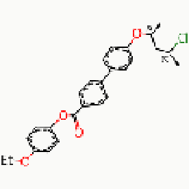 CCOc1ccc(OC(=O)c2ccc(-c3ccc(O[C@@H](C)C[C@H](C)Cl)cc3)cc2)cc1